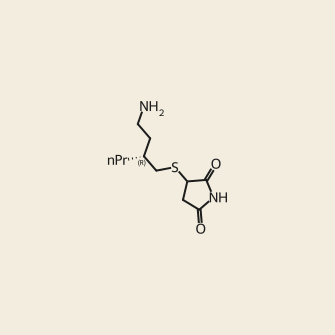 CCC[C@H](CCN)CSC1CC(=O)NC1=O